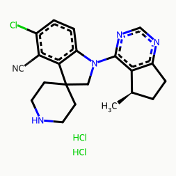 C[C@@H]1CCc2ncnc(N3CC4(CCNCC4)c4c3ccc(Cl)c4C#N)c21.Cl.Cl